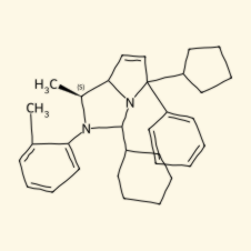 Cc1ccccc1N1C(C2CCCCC2)N2C(C=CC2(c2ccccc2)C2CCCC2)[C@@H]1C